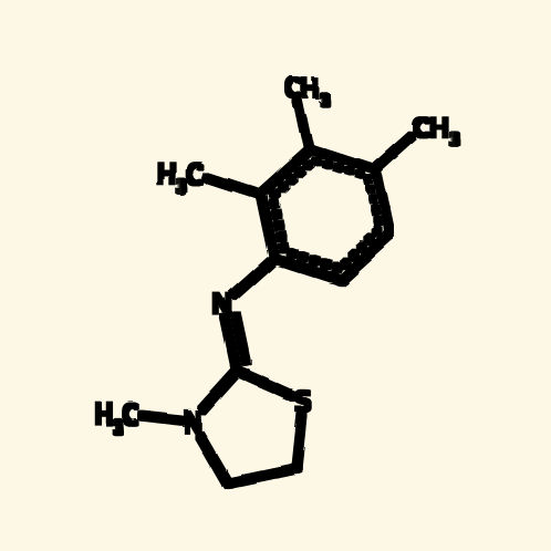 Cc1ccc(N=C2SCCN2C)c(C)c1C